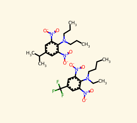 CCCCN(CC)c1c([N+](=O)[O-])cc(C(F)(F)F)cc1[N+](=O)[O-].CCCN(CCC)c1c([N+](=O)[O-])cc(C(C)C)cc1[N+](=O)[O-]